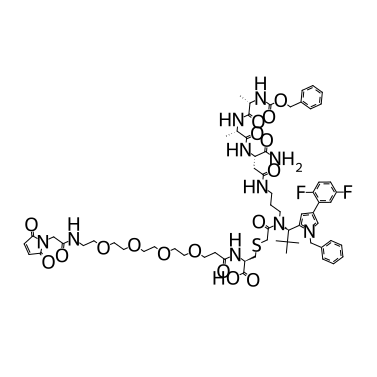 C[C@H](NC(=O)OCc1ccccc1)C(=O)N[C@@H](C)C(=O)N[C@@H](CC(=O)NCCCN(C(=O)CSC[C@H](NC(=O)CCOCCOCCOCCOCCNC(=O)CN1C(=O)C=CC1=O)C(=O)O)[C@@H](c1cc(-c2cc(F)ccc2F)cn1Cc1ccccc1)C(C)(C)C)C(N)=O